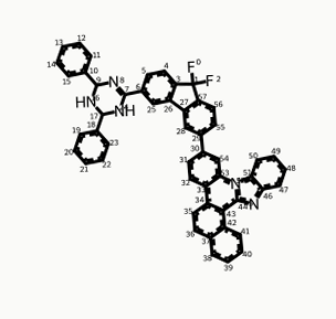 FC1(F)c2ccc(C3=NC(c4ccccc4)NC(c4ccccc4)N3)cc2-c2cc(-c3ccc4c5ccc6ccccc6c5c5nc6ccccc6n5c4c3)ccc21